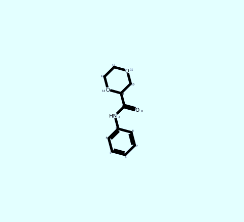 O=C(Nc1ccccc1)C1COCCO1